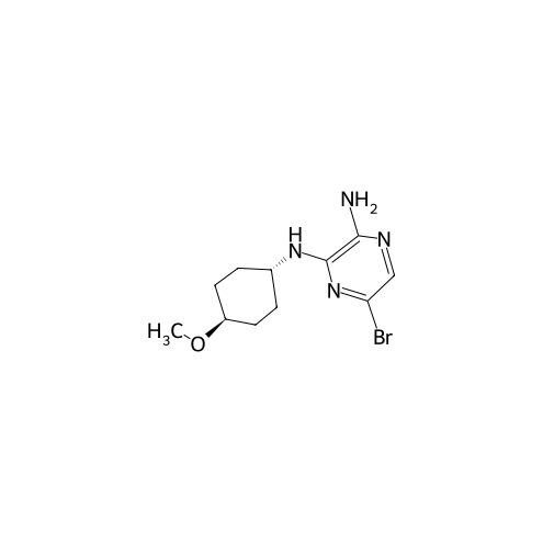 CO[C@H]1CC[C@H](Nc2nc(Br)cnc2N)CC1